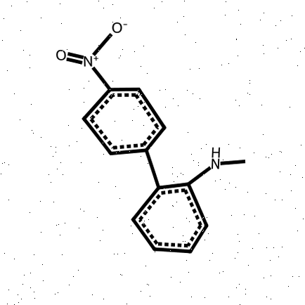 CNc1ccccc1-c1ccc([N+](=O)[O-])cc1